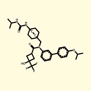 CC(C)NC(=O)NC12CCC(CN(C(=O)C3CC(O)(C(F)(F)F)C3)c3cccc(-c4ccc(OC(C)C)cc4)c3)(CC1)CC2